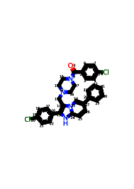 O=C(c1ccc(Cl)cc1)N1CCN(CC2=C(c3ccc(Cl)cc3)NC3C=CC(c4ccccc4)=CN23)CC1